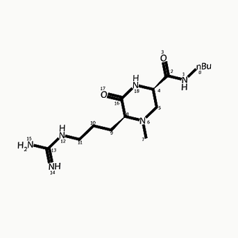 CCCCNC(=O)[C@H]1CN(C)[C@@H](CCCNC(=N)N)C(=O)N1